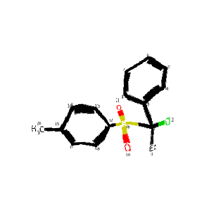 CCC(Cl)(c1ccccc1)S(=O)(=O)c1ccc(C)cc1